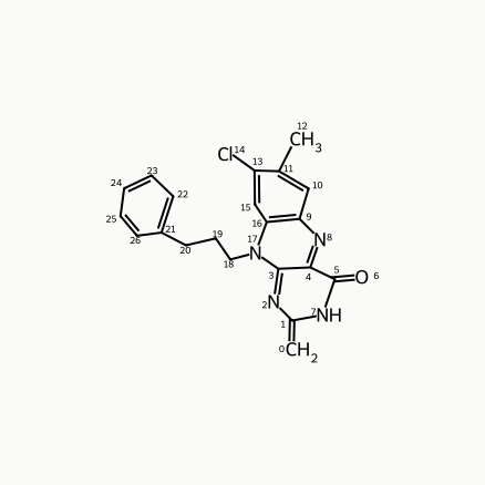 C=c1nc2c(c(=O)[nH]1)=Nc1cc(C)c(Cl)cc1N2CCCc1ccccc1